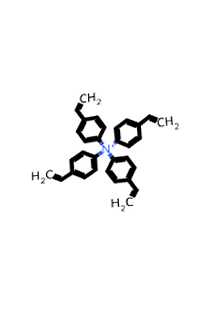 C=Cc1ccc([N+](c2ccc(C=C)cc2)(c2ccc(C=C)cc2)c2ccc(C=C)cc2)cc1